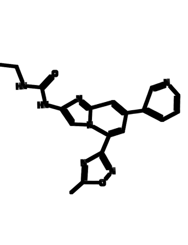 CCNC(=O)Nc1cn2c(-c3noc(C)n3)cc(-c3cccnc3)cc2n1